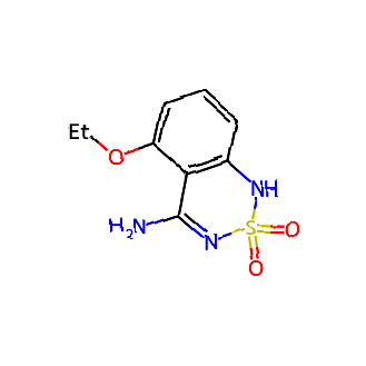 CCOc1cccc2c1C(N)=NS(=O)(=O)N2